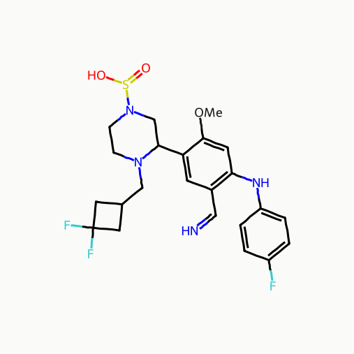 COc1cc(Nc2ccc(F)cc2)c(C=N)cc1C1CN(S(=O)O)CCN1CC1CC(F)(F)C1